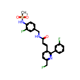 CS(=O)(=O)Nc1ccc(CNC(=O)/C=C/c2ccc(CF)nc2-c2cccc(F)c2)cc1F